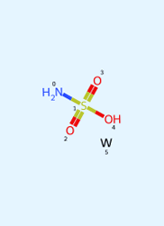 NS(=O)(=O)O.[W]